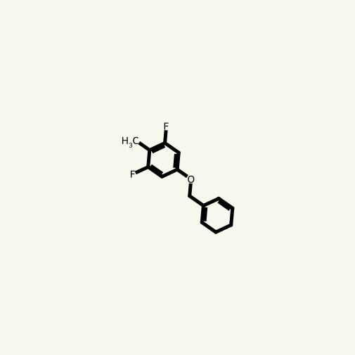 Cc1c(F)cc(OCC2=CCCC=C2)cc1F